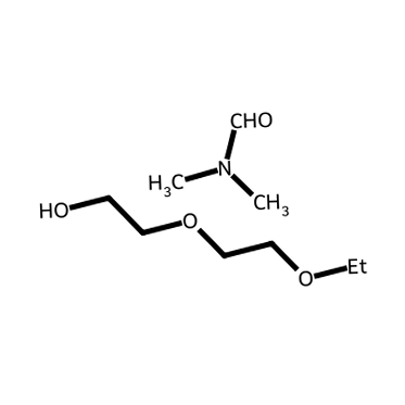 CCOCCOCCO.CN(C)C=O